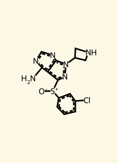 Nc1ncnc2c1c([S+]([O-])c1cccc(Cl)c1)nn2C1CNC1